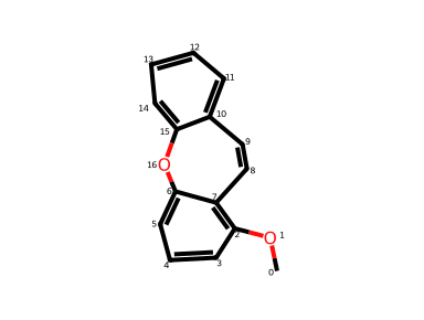 COc1cccc2c1C=Cc1ccccc1O2